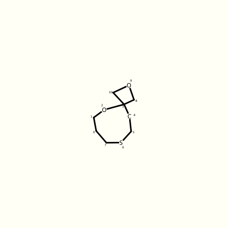 C1COC2(CCSC1)COC2